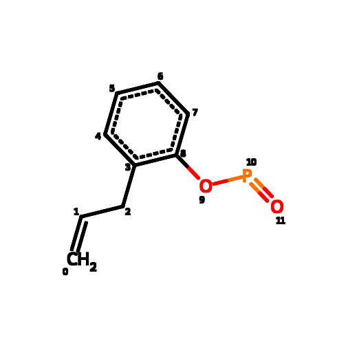 C=CCc1ccccc1OP=O